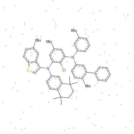 CC(C)(C)c1cccc(N(c2ccc(C(C)(C)C)c(-c3ccccc3)c2)c2cc(C(C)(C)C)cc(N(c3ccc4c(c3)C(C)(C)CCC4(C)C)c3csc4ccc(C(C)(C)C)cc34)c2Cl)c1